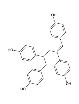 Oc1ccc(/C=C(\CC(Cc2ccc(O)cc2)c2ccc(O)cc2)c2ccc(O)cc2)cc1